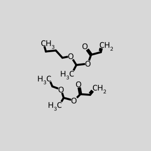 C=CC(=O)OC(C)OCC.C=CC(=O)OC(C)OCCCC